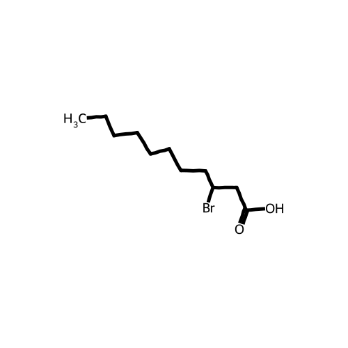 CCCCCCCCC(Br)CC(=O)O